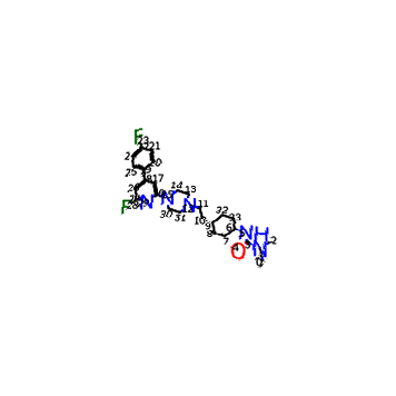 CN(C)C(=O)N[C@H]1CC[C@H](CCN2CCN(c3cc(-c4ccc(F)cc4)cc(F)n3)CC2)CC1